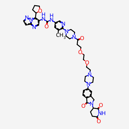 Cc1cc(NC(=O)Nc2cnc3ccnn3c2C2CCCO2)cnc1N1CCN(C(=O)CCOCCOCCN2CCN(c3ccc4c(c3)CN(C3CCC(=O)NC3=O)C4=O)CC2)CC1